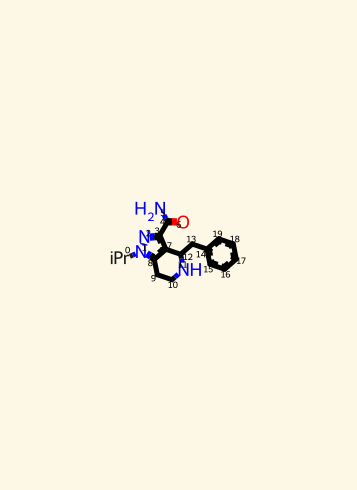 CC(C)n1nc(C(N)=O)c2c1CCNC2Cc1ccccc1